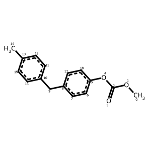 COC(=O)Oc1ccc(Cc2ccc(C)cc2)cc1